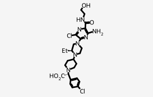 CC[C@H]1CN(c2nc(N)c(C(=O)NCCO)nc2Cl)CCN1C1CCN([C@@H](C(=O)O)c2ccc(Cl)cc2)CC1